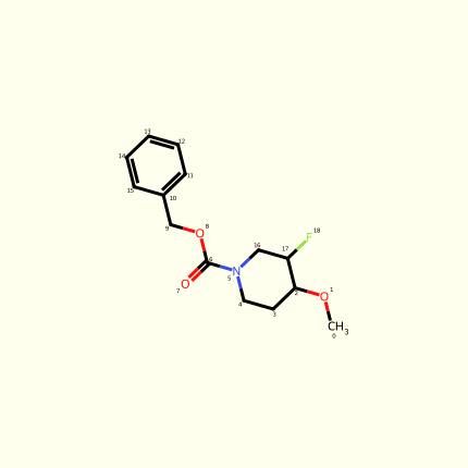 COC1CCN(C(=O)OCc2ccccc2)CC1F